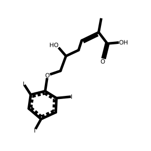 CC(=CCC(O)COc1c(I)cc(I)cc1I)C(=O)O